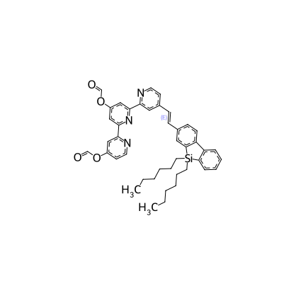 CCCCCC[Si]1(CCCCCC)c2ccccc2-c2ccc(/C=C/c3ccnc(-c4cc(OC=O)cc(-c5cc(OC=O)ccn5)n4)c3)cc21